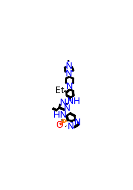 C=Cc1cnc(Nc2ccc(N3CCC(N4CCN(C)CC4)CC3)c(CC)c2)nc1Nc1ccc2nccnc2c1P(C)(C)=O